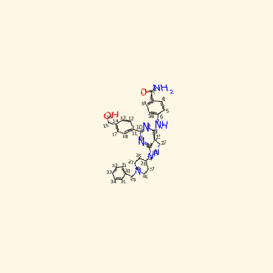 NC(=O)c1ccc(Nc2nc(-c3ccc(CO)cc3)nc3c2cnn3C2CCN(Cc3ccccc3)CC2)cc1